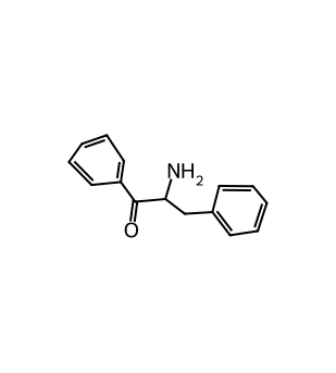 NC(Cc1ccccc1)C(=O)c1ccccc1